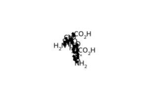 Cc1cc(N)s[n+]1CC1=C(C(=O)O)N2C(=O)[C@@H](NC(=O)/C(=N\O[C@@H](C)C(=O)O)c3nc(N)sc3Cl)[C@H]2SC1